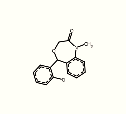 CN1C(=O)COC(c2ccccc2Cl)c2ccccc21